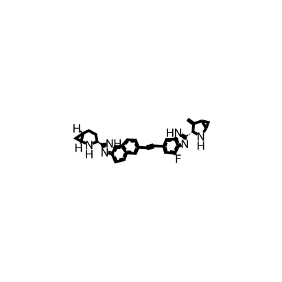 C=C1C2CC2N[C@@H]1c1nc2c(F)cc(C#Cc3ccc4c(ccc5nc([C@@H]6CC[C@H]7C[C@H]7N6)[nH]c54)c3)cc2[nH]1